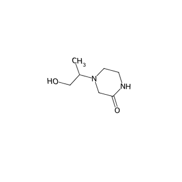 CC(CO)N1CCNC(=O)C1